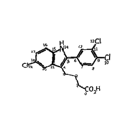 O=C(O)CCCc1c(-c2ccc(Cl)c(Cl)c2)[nH]c2ccc(Cl)cc12